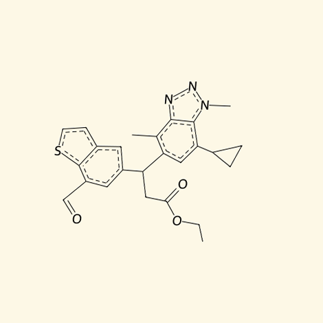 CCOC(=O)CC(c1cc(C=O)c2sccc2c1)c1cc(C2CC2)c2c(nnn2C)c1C